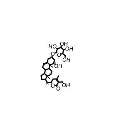 CC1=C(CO)C(=O)OC([C@H](C)C2CCC3C4CC=C5C[C@@H](OC6OC(CO)C(O)C(O)C6O)C[C@H](O)[C@]5(C)C4CC[C@@]32C)C1